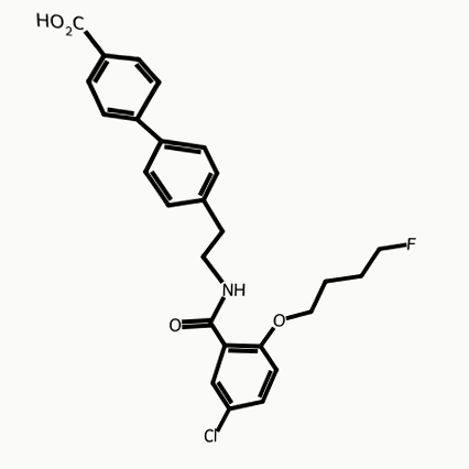 O=C(O)c1ccc(-c2ccc(CCNC(=O)c3cc(Cl)ccc3OCCCCF)cc2)cc1